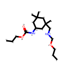 CCCOCNCC1(C)CC(NC(=O)OCCC)CC(C)(C)C1